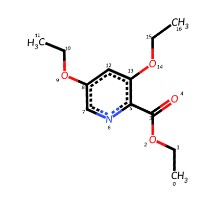 CCOC(=O)c1ncc(OCC)cc1OCC